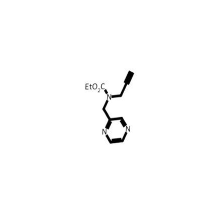 C#CCN(Cc1cnccn1)C(=O)OCC